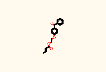 CC=CC(=O)OCCOc1ccc(C(=O)c2ccccc2)cc1